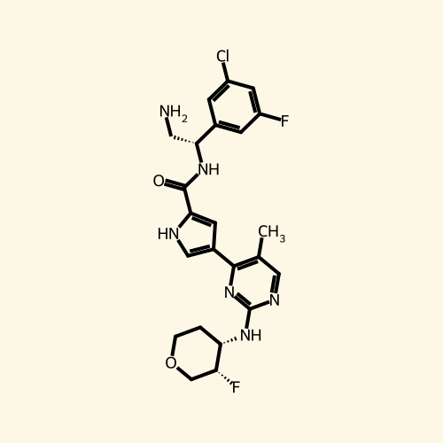 Cc1cnc(N[C@H]2CCOC[C@H]2F)nc1-c1c[nH]c(C(=O)N[C@H](CN)c2cc(F)cc(Cl)c2)c1